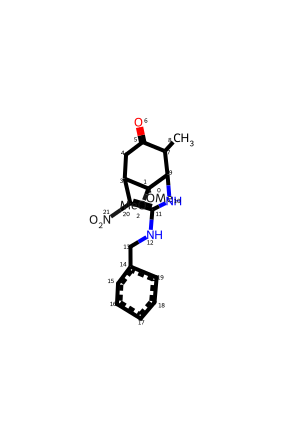 COC1(OC)C2CC(=O)C(C)C1NC(NCc1ccccc1)=C2[N+](=O)[O-]